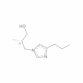 CCCc1cn(C[C@H](C)CO)cn1